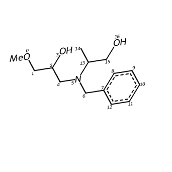 COCC(O)CN(Cc1ccccc1)C(C)CO